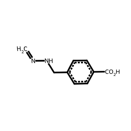 C=NNCc1ccc(C(=O)O)cc1